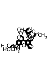 CCOC(=O)CC(c1cc(CN2C[C@@H](CC)Oc3ncc(Cl)cc3S2(=O)=O)c2sccc2c1)c1ccc2c(nnn2CC(C)(C)O)c1C